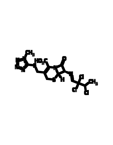 CC(Cl)C(Cl)(Cl)C=N[C@@H]1C(=O)N2C(C(=O)O)=C(CSc3nnnn3C)CS[C@@H]12